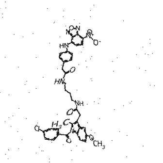 COc1ccc2c(c1)c(CC(=O)NCCCCNC(=O)Cc1ccc(Nc3ccc([N+](=O)[O-])c4nonc34)cc1)c(C)n2C(=O)c1ccc(Cl)cc1